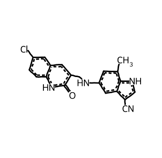 Cc1cc(NCc2cc3cc(Cl)ccc3[nH]c2=O)cc2c(C#N)c[nH]c12